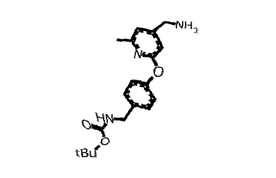 Cc1cc(CN)cc(Oc2ccc(CNC(=O)OC(C)(C)C)cc2)n1